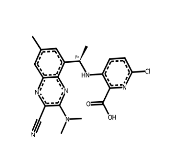 Cc1cc([C@@H](C)Nc2ccc(Cl)nc2C(=O)O)c2nc(N(C)C)c(C#N)nc2c1